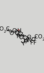 C=C(C)[C@@H]1CC[C@]2(C(=O)NC3CC(C(=O)O)CC3(F)F)CC[C@]3(C)C(CC[C@@H]4[C@@]5(C)CC[C@H](OC(=O)CC(C)(C)C(=O)O)C(C)(C)[C@@H]5CC[C@]43C)C12